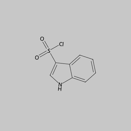 O=S(=O)(Cl)c1c[nH]c2ccccc12